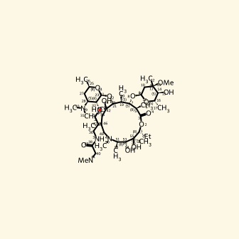 CC[C@H]1OC(=O)[C@H](C)[C@@H](O[C@H]2C[C@@](C)(OC)[C@@H](O)[C@H](C)O2)[C@H](C)[C@@H](O[C@@H]2O[C@H](C)C[C@H](N(C)C)[C@H]2OCCCNC(=O)CNC)[C@](C)(O)C[C@@H](C)CN(C)[C@H](C)[C@@H](O)[C@]1(C)O